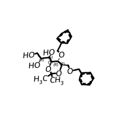 CC1(C)O[C@@H]([C@@H](O)[C@H](O)CO)[C@H](OCc2ccccc2)[C@@H](COCc2ccccc2)O1